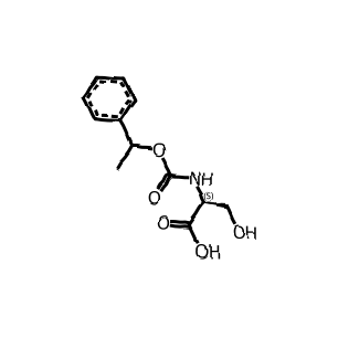 CC(OC(=O)N[C@@H](CO)C(=O)O)c1ccccc1